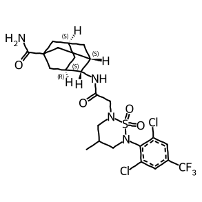 CC1CN(CC(=O)N[C@@H]2[C@@H]3C[C@@H]4C[C@H]2CC(C(N)=O)(C4)C3)S(=O)(=O)N(c2c(Cl)cc(C(F)(F)F)cc2Cl)C1